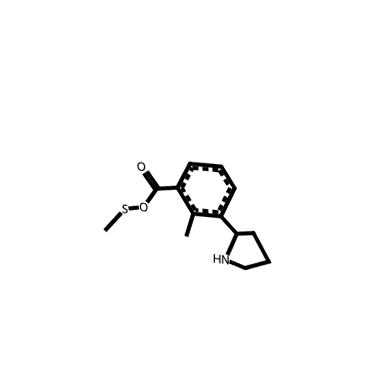 CSOC(=O)c1cccc(C2CCCN2)c1C